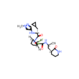 Cn1cc(N[C@H](CC2CC2)C(=O)N2[C@H]3CC[C@@H]([C@@H]2C(=O)N[C@@H](C#N)C[C@@H]2CCCNC2=O)C(F)(F)C3)cn1